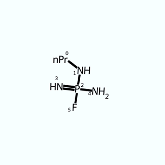 CCCNP(=N)(N)F